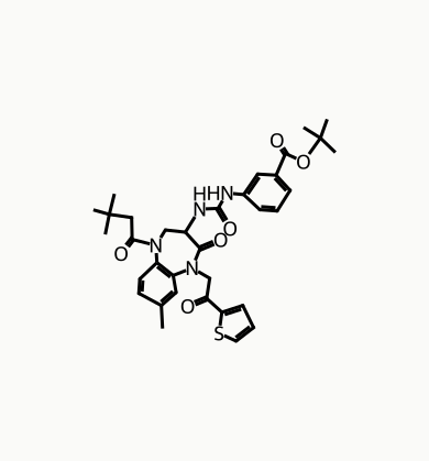 Cc1ccc2c(c1)N(CC(=O)c1cccs1)C(=O)C(NC(=O)Nc1cccc(C(=O)OC(C)(C)C)c1)CN2C(=O)CC(C)(C)C